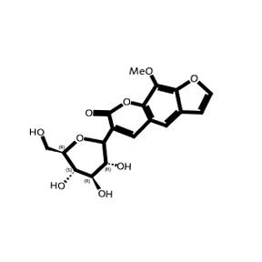 COc1c2occc2cc2cc(C3O[C@H](CO)[C@@H](O)[C@H](O)[C@H]3O)c(=O)oc12